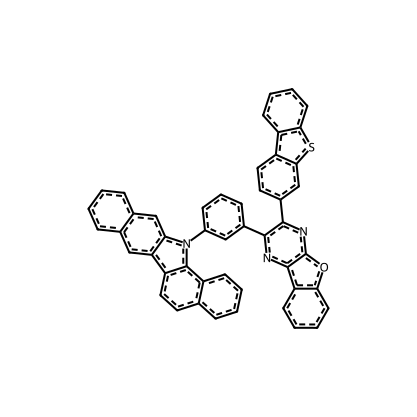 c1cc(-c2nc3c(nc2-c2ccc4c(c2)sc2ccccc24)oc2ccccc23)cc(-n2c3cc4ccccc4cc3c3ccc4ccccc4c32)c1